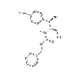 COc1ccc([C@@H](O)[C@@H](CO)N(C)C(=O)OCc2ccccc2)cc1